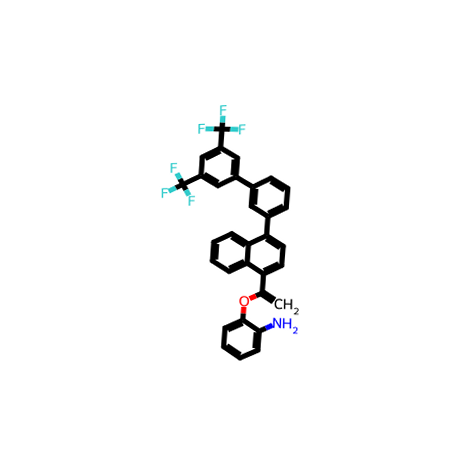 C=C(Oc1ccccc1N)c1ccc(-c2cccc(-c3cc(C(F)(F)F)cc(C(F)(F)F)c3)c2)c2ccccc12